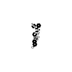 CN1CCN(CC(c2ccccc2)N(C)C(=O)CN2CCC[C@H](NS(=O)(=O)c3ccc4cc(Cl)ccc4c3)C2=O)CC1